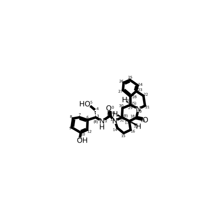 O=C(N[C@@H](CO)c1cccc(O)c1)N1CCC[C@H]2C(=O)N3CCc4ccccc4[C@@H]3C[C@H]21